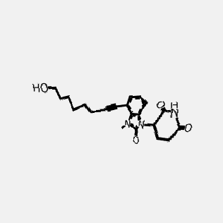 Cn1c(=O)n(C2CCC(=O)NC2=O)c2cccc(C#CCCCCCCO)c21